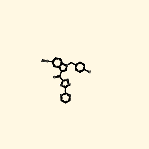 COc1ccc2c(c1)c(C(=O)c1nnc(-c3ncccn3)o1)cn2Cc1ccc(Cl)cc1